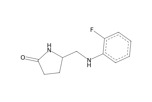 O=C1CCC(CNc2ccccc2F)N1